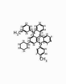 Cc1ccc(N2c3ccccc3B3c4ccccc4N(c4cccc(C)c4)c4cc(C5CCCCC5)cc2c43)cc1